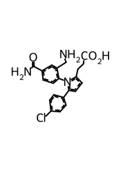 NCc1cc(C(N)=O)ccc1-n1c(CCC(=O)O)ccc1-c1ccc(Cl)cc1